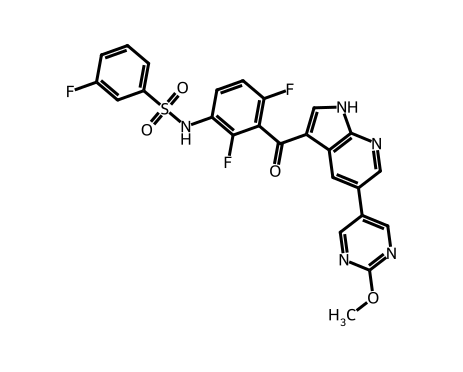 COc1ncc(-c2cnc3[nH]cc(C(=O)c4c(F)ccc(NS(=O)(=O)c5cccc(F)c5)c4F)c3c2)cn1